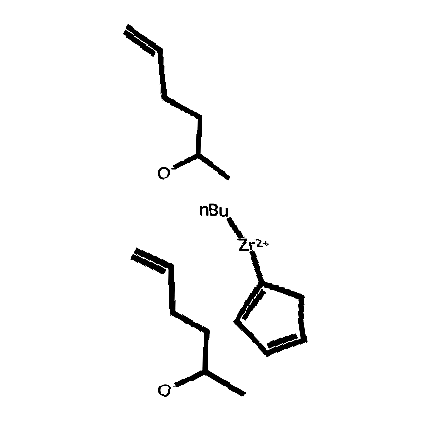 C=CCCC(C)[O-].C=CCCC(C)[O-].CCC[CH2][Zr+2][C]1=CC=CC1